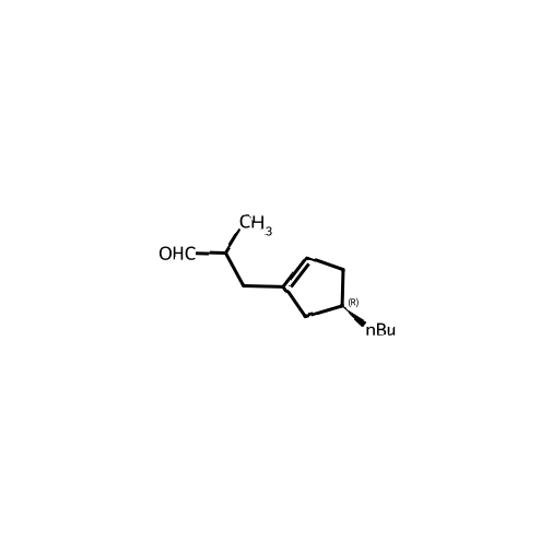 CCCC[C@@H]1CC=C(CC(C)C=O)C1